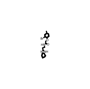 Cc1ccc(OCC(=O)NCCc2nc3ccccc3[nH]2)c(Br)c1